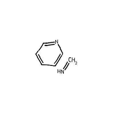 C=N.c1ccncc1